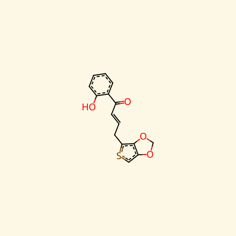 O=C(/C=C/Cc1scc2c1OCO2)c1ccccc1O